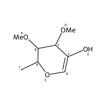 COC1C(O)=COC(C)C1OC